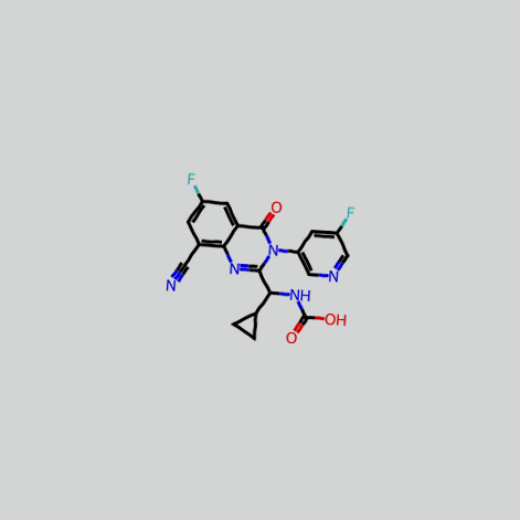 N#Cc1cc(F)cc2c(=O)n(-c3cncc(F)c3)c(C(NC(=O)O)C3CC3)nc12